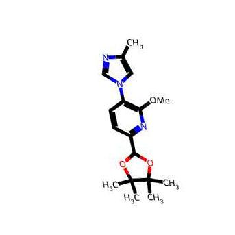 COc1nc(C2OC(C)(C)C(C)(C)O2)ccc1-n1cnc(C)c1